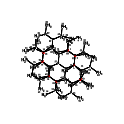 BP(B)P(P)P(P(P)P)P(P(P(P(B)B)P(B)P)P(P(P)P)P(P)P)P(P(P(P(P)P)P(P)P)P(P(P)P)P(P)P)P(P(P(P(P)P)P(P)P)P(P(P)P)P(P)P)P(P(P(P)P)P(P)P)P(P(P)P)P(P)P